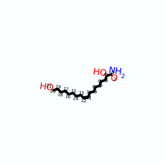 NC(=O)C(O)CCCCCC/C=C\CCCCCCCCO